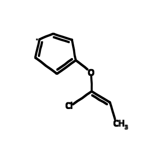 CC=C(Cl)Oc1cc[c]cc1